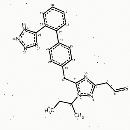 CCC(C)n1nc(CC=S)nc1Cc1ccc(-c2ccccc2-c2nnn[nH]2)cc1